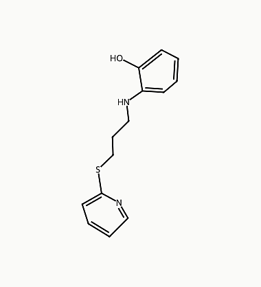 Oc1ccccc1NCCCSc1ccccn1